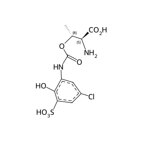 C[C@@H](OC(=O)Nc1cc(Cl)cc(S(=O)(=O)O)c1O)[C@H](N)C(=O)O